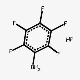 Bc1c(F)c(F)c(F)c(F)c1F.F